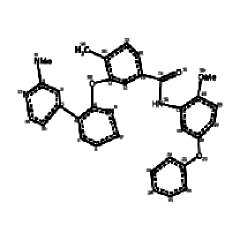 CNc1cc(-c2cccnc2Oc2cc(C(=O)Nc3cc(Oc4ccccc4)ccc3OC)ccc2C)ccn1